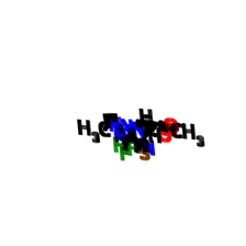 COC(=O)C[C@@H]1[C@H]2CN(c3nc(N4CC[C@@H]4C)nc(C(F)(F)F)c3-c3cnsc3)C[C@@H]12